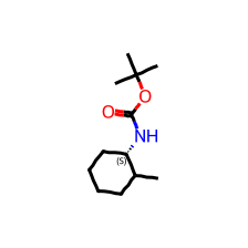 CC1CCCC[C@@H]1NC(=O)OC(C)(C)C